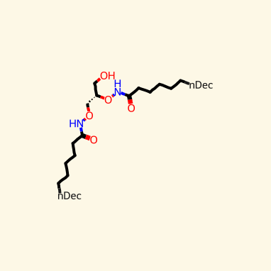 CCCCCCCCCCCCCCCC(=O)NOC[C@H](CO)ONC(=O)CCCCCCCCCCCCCCC